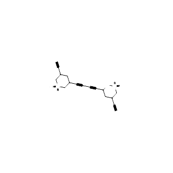 C#CC1CC(C#CC#CC2CC(C#C)CS(=O)(=O)O2)CS(=O)(=O)C1